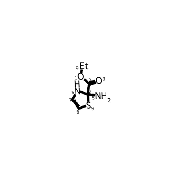 CCOC(=O)C1(N)NC=CS1